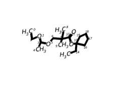 CCOC(C)OCC(C)(C)C(=O)OC1(CC)CCCC1